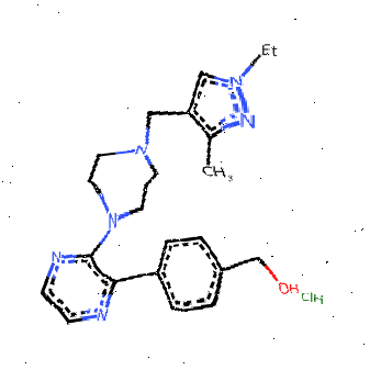 CCn1cc(CN2CCN(c3nccnc3-c3ccc(CO)cc3)CC2)c(C)n1.Cl